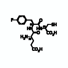 N[C@@H](CCC(=O)O)C(=O)N[C@@H](Cc1ccc(F)cc1)C(=O)N[C@@H](CS)C(=O)O